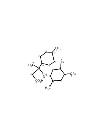 CC(=O)OC1CC(C)CCC1C(C)C.CC1CCC(C(C)(C)CC(=O)O)CC1